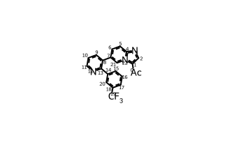 CC(=O)c1cnc2ccc(-c3cccnc3-c3cccc(C(F)(F)F)c3)cn12